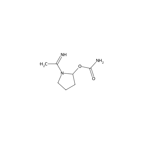 [CH2]C(=N)N1CCCC1OC(N)=O